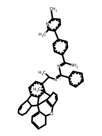 Cc1ccc(-c2ccc(/C(N)=N/C(=N\C(C)c3ccc4c(c3)C3(C5=CC=CCC5OC5=C3C(C)CC=C5)C3CCCC=CC43)c3ccccc3)cc2)c(C)n1